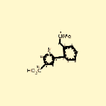 COCc1ccccc1-c1cc(C(=O)O)cs1